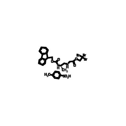 C[C@@H](CNCC(=O)OCC(Br)(Br)Br)NC(=O)OCC1c2ccccc2-c2ccccc21.Cc1ccc(S(=O)(=O)O)cc1